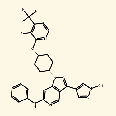 Cn1cc(-c2nn([C@H]3CC[C@@H](Oc4nccc(C(F)(F)F)c4F)CC3)c3cc(Nc4ccccc4)ncc23)cn1